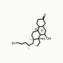 CC(C)CCC[C@@H](C)[C@H]1CC[C@H]2[C@@H]3C(O)CC4CC(=O)CC[C@]4(C)[C@H]3CC[C@]12C